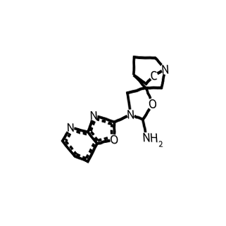 NC1OC2(CN3CCC2CC3)CN1c1nc2ncccc2o1